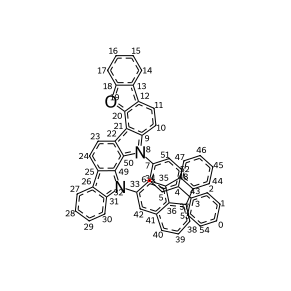 c1ccc(-c2ccc(-n3c4ccc5c6ccccc6oc5c4c4ccc5c6ccccc6n(-c6cc7c8c(cccc8c6)-c6ccccc6-7)c5c43)cc2)cc1